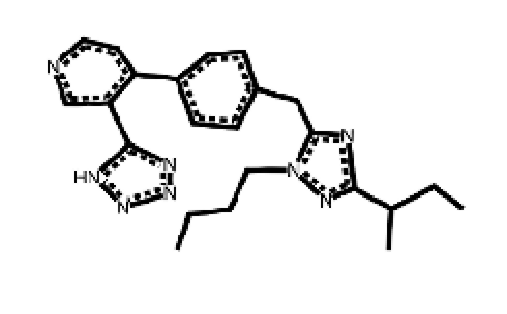 CCCCn1nc(C(C)CC)nc1Cc1ccc(-c2ccncc2-c2nnn[nH]2)cc1